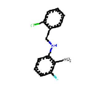 O=[N+]([O-])c1c(F)cccc1NCc1ccccc1Cl